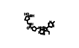 CCn1c(-c2cnc(C)nc2)nc2c(NC3CCN(C(=O)NCC4CCS(O)(O)C4)C3)ncnc21